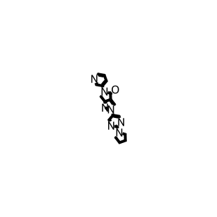 O=C1c2cn(-c3cnc(N4CCCC4)nc3)nc2CN1c1cccnc1